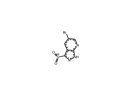 O=[SH](=O)c1n[nH]c2ncc(Br)cc12